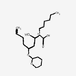 C=CCCC(CC(O)[C@@H](CCCCCC)C(=O)O)OC1CCCCO1